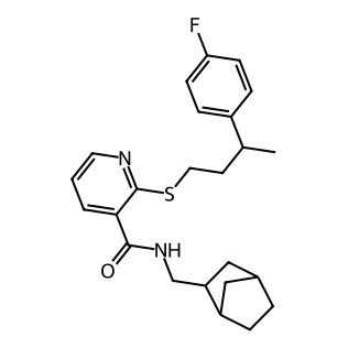 CC(CCSc1ncccc1C(=O)NCC1CC2CCC1C2)c1ccc(F)cc1